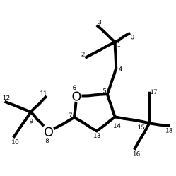 CC(C)(C)CC1OC(OC(C)(C)C)CC1C(C)(C)C